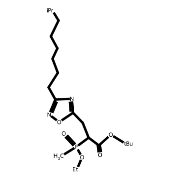 CCOP(C)(=O)C(Cc1nc(CCCCCCC(C)C)no1)C(=O)OC(C)(C)C